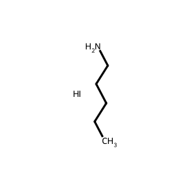 CCCCCN.I